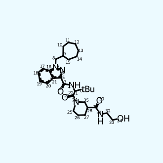 CC(C)(C)C(NC(=O)c1nn(CC2CCCCCC2)c2ccccc12)C(=O)N1CCCC(C(=O)NCCO)C1